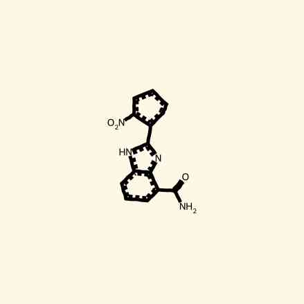 NC(=O)c1cccc2[nH]c(-c3ccccc3[N+](=O)[O-])nc12